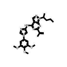 C=C(C)c1nc(Nc2cn(-c3cc(OC)c(OC)c(OC)c3)cn2)c2cnn(C(C)CCC)c2n1